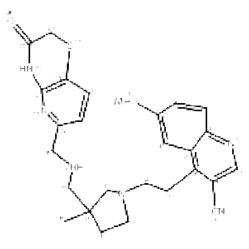 COc1ccc2ncc(C#N)c(CCN3CCC(C)(CNCc4ccc5c(n4)NC(=O)CS5)C3)c2c1